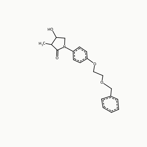 CC1C(=O)N(c2ccc(OCCOCc3ccccc3)cc2)CC1O